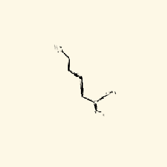 CCCCC[S+](C)C